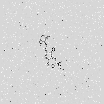 CCOC(=O)CN1C(=O)/C(=C\C=C2/OCCN2C)SC1=S